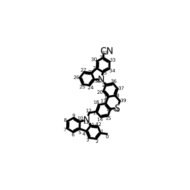 Cc1ccc2c3ccccc3n(Cc3ccc4c(c3)-c3cc(-n5c6ccccc6c6cc(C#N)ccc65)ccc3CS4)c2c1